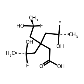 C[C@@](O)(F)CC(CC(=O)O)(C[C@](C)(O)F)C[C@](C)(O)F